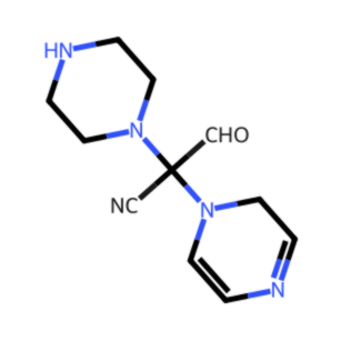 N#CC(C=O)(N1C=CN=CC1)N1CCNCC1